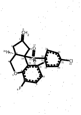 C=C1C[C@@H]2COc3c(F)ccc(F)c3C2(S(=O)(=O)c2ccc(Cl)cc2)C1